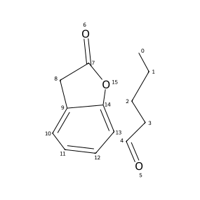 CCCCC=O.O=C1Cc2ccccc2O1